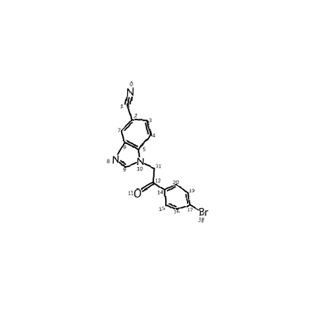 N#Cc1ccc2c(c1)ncn2CC(=O)c1ccc(Br)cc1